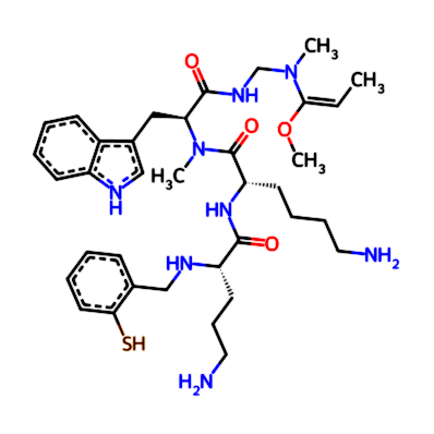 C/C=C(/OC)N(C)CNC(=O)[C@H](Cc1c[nH]c2ccccc12)N(C)C(=O)[C@H](CCCCN)NC(=O)[C@H](CCCN)NCc1ccccc1S